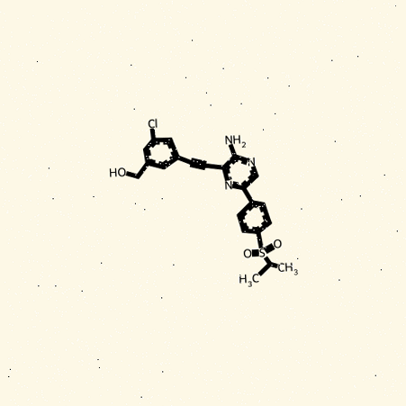 CC(C)S(=O)(=O)c1ccc(-c2cnc(N)c(C#Cc3cc(Cl)cc(CO)c3)n2)cc1